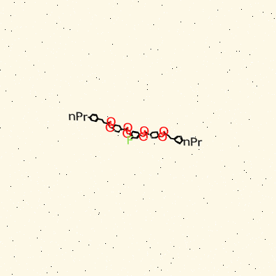 CCCc1ccc(CCC(=O)OC2CCC(C(=O)Oc3ccc(OC(=O)C4CCC(OC(=O)CCc5ccc(CCC)cc5)CC4)c(F)c3)CC2)cc1